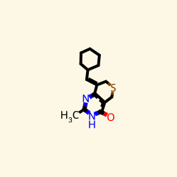 Cc1nc2c(c(=O)[nH]1)CSCC2=CC1CCCCC1